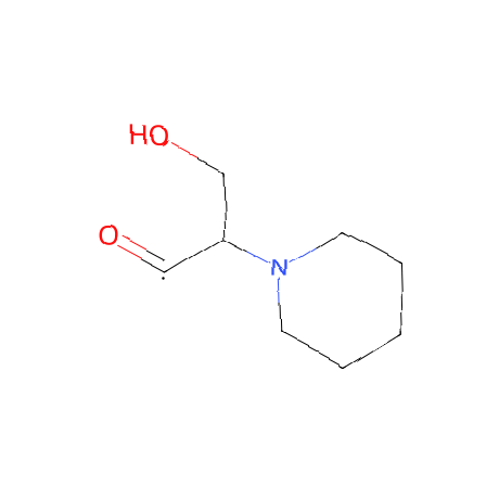 O=[C]C(CO)N1CCCCC1